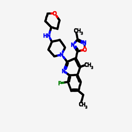 CCc1cc(F)c2nc(N3CCC(NC4CCOCC4)CC3)c(-c3nc(C)no3)c(C)c2c1